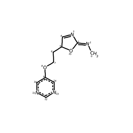 CN=C1N=CC(CCOc2cncnc2)O1